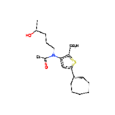 CCC(=O)N(CCCC(C)O)c1cc(C2=CCCCCC2)sc1C(=O)O